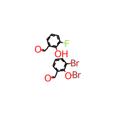 O=Cc1cccc(Br)c1OBr.O=Cc1cccc(F)c1O